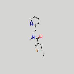 CCc1cc(C(=O)N(C)CCc2ccccn2)cs1